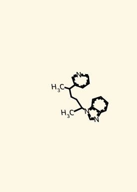 CC(CCC(C)n1cnc2ccccc21)c1cccnc1